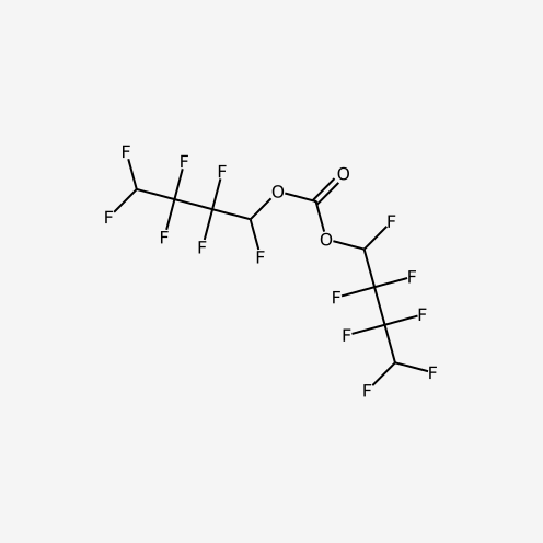 O=C(OC(F)C(F)(F)C(F)(F)C(F)F)OC(F)C(F)(F)C(F)(F)C(F)F